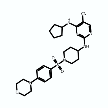 N#Cc1cnc(NC2CCN(S(=O)(=O)c3ccc(N4CCOCC4)cc3)CC2)nc1NC1CCCC1